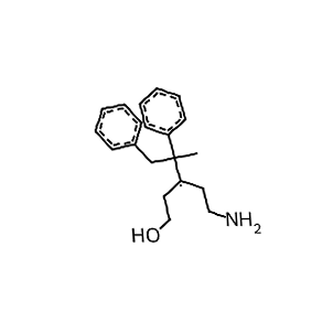 CC(Cc1ccccc1)([C](CCN)CCO)c1ccccc1